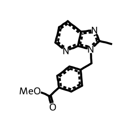 COC(=O)c1ccc(Cn2c(C)nc3cccnc32)cc1